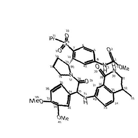 COC(=O)Nc1ccc(S(=O)(=O)C(C)C)c([C@H]2CCCN2C(=O)C(Nc2ccc3c(c2)C(=O)NCC3C)c2ccc(OC)c(OC)c2)c1